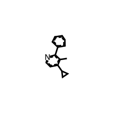 Cc1c(C2CC2)ccnc1-c1ccccc1